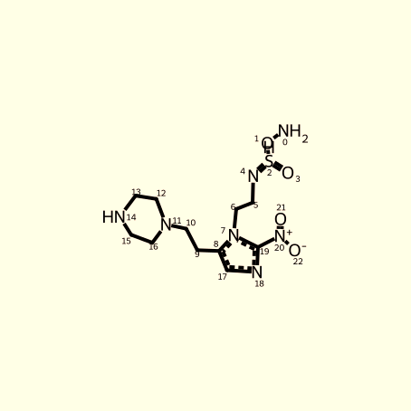 NO[SH](=O)=NCCn1c(CCN2CCNCC2)cnc1[N+](=O)[O-]